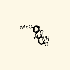 COc1cccc(N(C)C2CCC(=O)NC2=O)c1